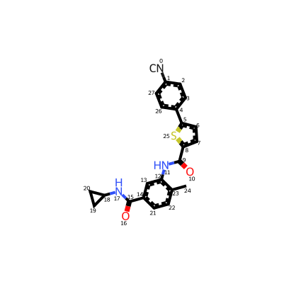 [C-]#[N+]c1ccc(-c2ccc(C(=O)Nc3cc(C(=O)NC4CC4)ccc3C)s2)cc1